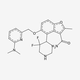 Cc1oc2ccc(OCc3cccc(N(C)C)n3)c(C3CCNCC3(F)F)c2c1C(N)=O